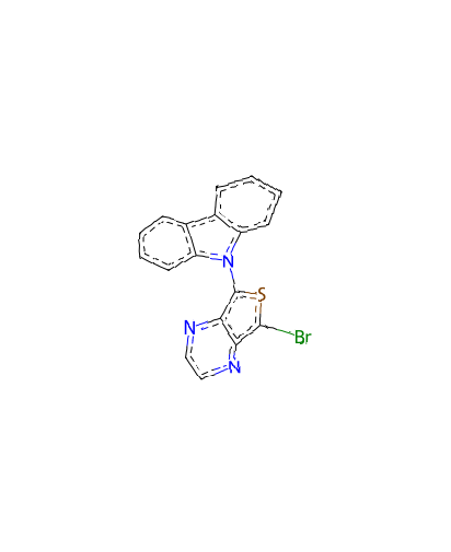 Brc1sc(-n2c3ccccc3c3ccccc32)c2nccnc12